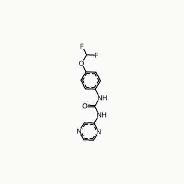 O=C(Nc1ccc(OC(F)F)cc1)Nc1cnccn1